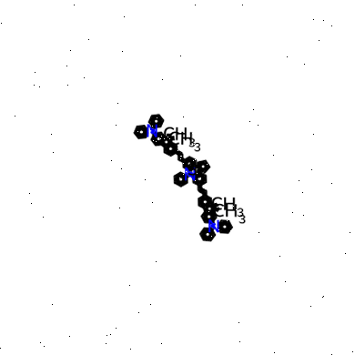 CC1(C)c2cc(/C=C/c3ccc4c(c3)N(c3ccccc3)c3cc(/C=C/c5ccc6c(c5)C(C)(C)c5cc(N(c7ccccc7)c7ccccc7)ccc5-6)ccc3[Si]43CCCC3)ccc2-c2ccc(N(c3ccccc3)c3ccccc3)cc21